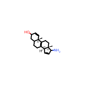 C[C@]12C=CC(O)CC1CCC1=C2CC[C@]2(C)C(N)C=C[C@@H]12